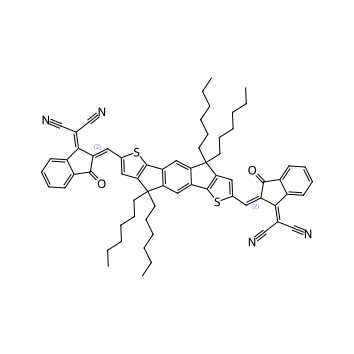 CCCCCCC1(CCCCCC)c2cc3c(cc2-c2sc(/C=C4\C(=O)c5ccccc5C4=C(C#N)C#N)cc21)C(CCCCCC)(CCCCCC)c1cc(/C=C2\C(=O)c4ccccc4C2=C(C#N)C#N)sc1-3